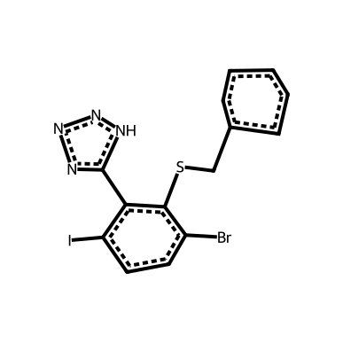 Brc1ccc(I)c(-c2nnn[nH]2)c1SCc1ccccc1